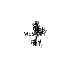 CSCC(=O)[C@@H](CCCCNC(N)=O)NC(=O)[C@H](NC(=O)CN1C(=O)C=CC1=O)C(C)C